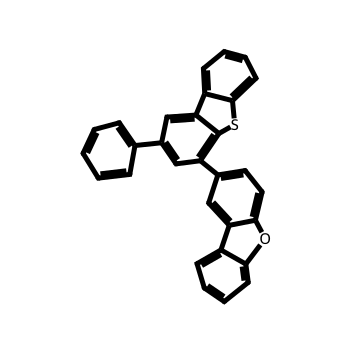 c1ccc(-c2cc(-c3ccc4oc5ccccc5c4c3)c3sc4ccccc4c3c2)cc1